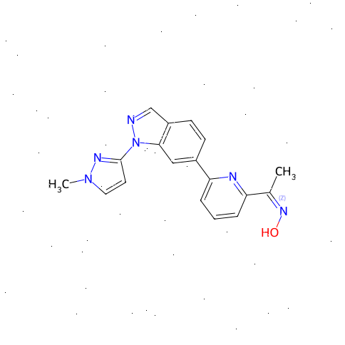 C/C(=N/O)c1cccc(-c2ccc3cnn(-c4ccn(C)n4)c3c2)n1